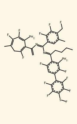 C=C(/N=C(\N=C(/CCCC)c1c(F)cc(-c2c(F)c(F)c(SF)c(F)c2F)c(F)c1P)c1cc(C)c(CF)c(F)c1F)C1=C(F)CC(C)=C(F)C(F)=C1P